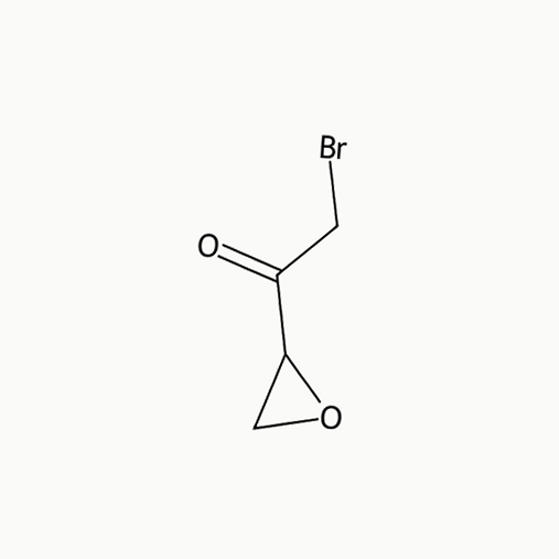 O=C(CBr)C1CO1